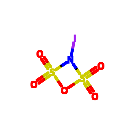 O=S1(=O)OS(=O)(=O)N1I